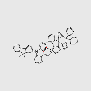 CC1(C)c2ccccc2-c2ccc(N(c3ccc(-c4cccc5c4-c4ccccc4C54c5ccccc5C(c5ccccc5)(c5ccccc5)c5ccccc54)cc3)c3ccccc3-c3ccccc3)cc21